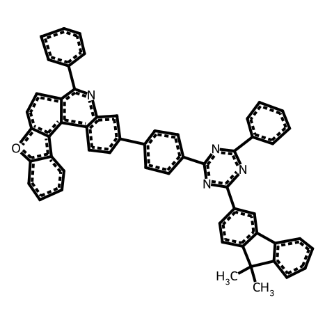 CC1(C)c2ccccc2-c2cc(-c3nc(-c4ccccc4)nc(-c4ccc(-c5ccc6c(c5)nc(-c5ccccc5)c5ccc7oc8ccccc8c7c56)cc4)n3)ccc21